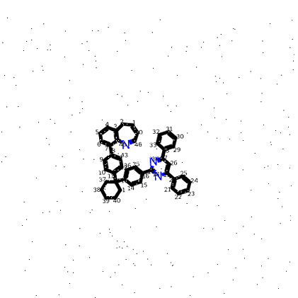 C1=CCc2cccc(-c3ccc(C4(c5ccc(-c6nc(-c7ccccc7)cc(-c7ccccc7)n6)cc5)CCCCC4)cc3)c2N=C1